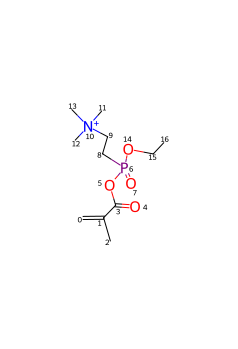 C=C(C)C(=O)OP(=O)(CC[N+](C)(C)C)OCC